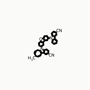 C[C@H]1C#CCc2c(c3cc(C#N)ccc3n2-c2ccc3oc4ccc(-n5c6ccccc6c6cc(C#N)ccc65)cc4c3c2)/C=C\1